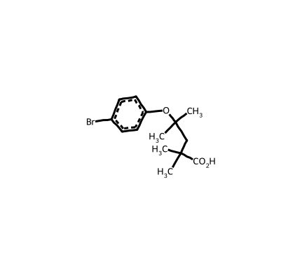 CC(C)(CC(C)(C)C(=O)O)Oc1ccc(Br)cc1